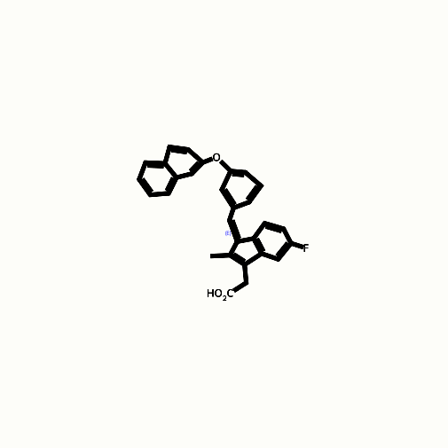 CC1=C(CC(=O)O)c2cc(F)ccc2/C1=C\c1cccc(Oc2ccc3ccccc3c2)c1